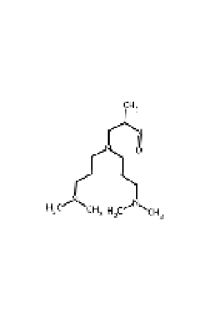 CC(CN(CCCN(C)C)CCCN(C)C)N=O